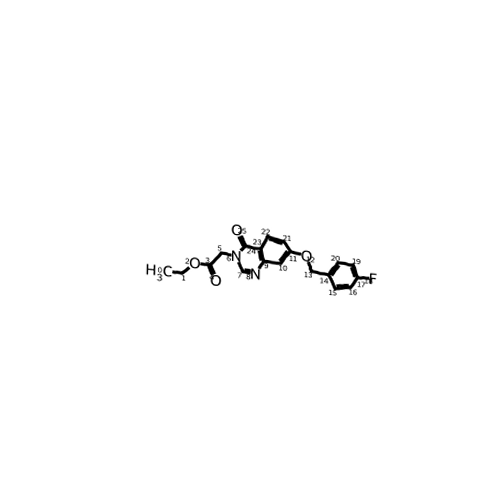 CCOC(=O)Cn1cnc2cc(OCc3ccc(F)cc3)ccc2c1=O